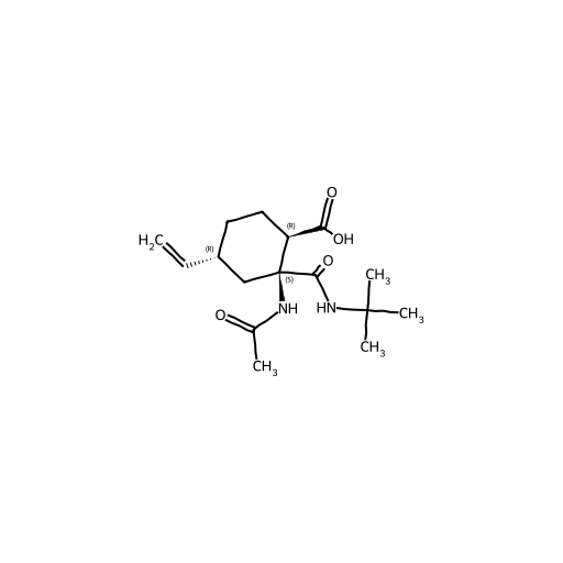 C=C[C@@H]1CC[C@@H](C(=O)O)[C@](NC(C)=O)(C(=O)NC(C)(C)C)C1